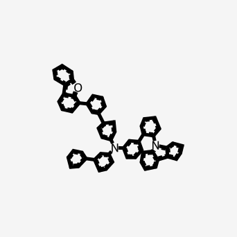 c1ccc(-c2cccc(N(c3ccc(-c4cccc(-c5cccc6c5oc5ccccc56)c4)cc3)c3cccc(-c4ccccc4-n4c5ccccc5c5ccccc54)c3)c2)cc1